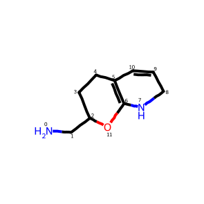 NCC1CCC2=C(NCC=C2)O1